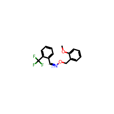 COc1ccccc1CO/N=[C]\c1ccccc1C(F)(F)F